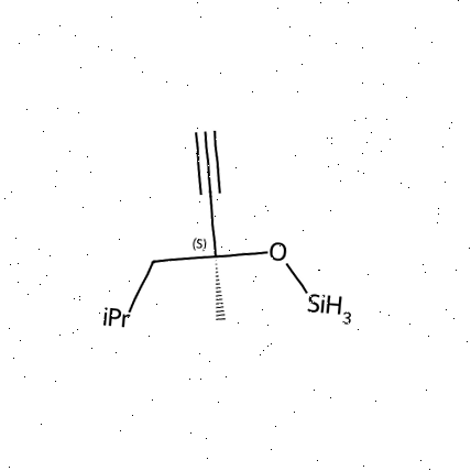 C#C[C@](C)(CC(C)C)O[SiH3]